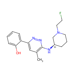 Cc1cc(-c2ccccc2O)nnc1N[C@@H]1CCCN(CCF)C1